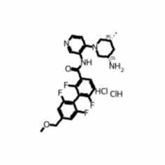 COCc1cc(F)c(-c2c(F)ccc(C(=O)Nc3cnccc3N3C[C@H](C)C[C@H](N)C3)c2F)c(F)c1.Cl.Cl